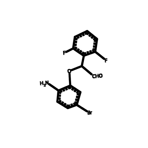 Nc1ccc(Br)cc1OC(C=O)c1c(F)cccc1F